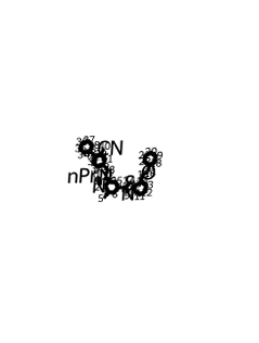 CCCc1nc2c(C)cc(-c3nc4cccc(COc5ccccc5)c4s3)cc2n1Cc1ccc(-c2ccccc2)c(C#N)c1